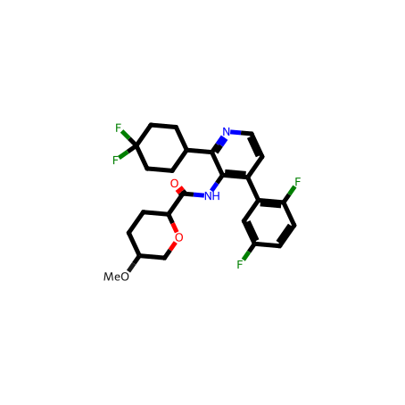 COC1CCC(C(=O)Nc2c(-c3cc(F)ccc3F)ccnc2C2CCC(F)(F)CC2)OC1